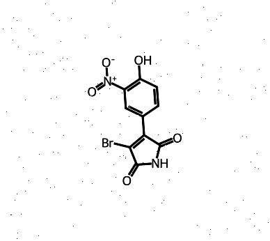 O=C1NC(=O)C(c2ccc(O)c([N+](=O)[O-])c2)=C1Br